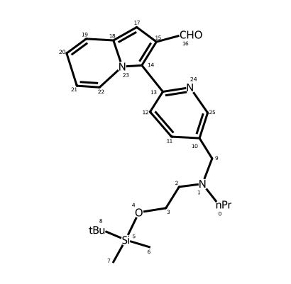 CCCN(CCO[Si](C)(C)C(C)(C)C)Cc1ccc(-c2c(C=O)cc3ccccn23)nc1